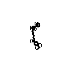 CS(=O)(=O)c1ccc(C(=O)CCCCCCc2ncc(-c3ccccn3)o2)cc1